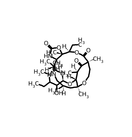 CCO[C@@H](O[C@@H]1[C@@H](C)C(=O)[C@]2(C)CCO[C@@]1(C)C[C@@H](C)CN[C@H](C)[C@H]1NC(=O)O[C@]1(C)[C@@H](CC)OC2=O)C(O)C(CC)N(C)C